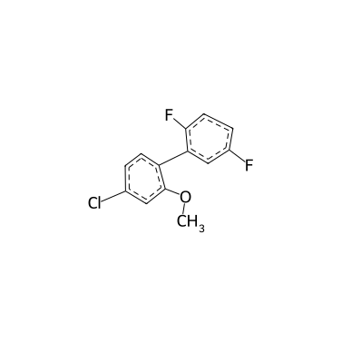 COc1cc(Cl)ccc1-c1cc(F)ccc1F